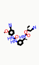 CC[C@H](CC#N)OC(=O)N[C@@H](C)c1cccc(NC(=O)Nc2ccc(C#N)c(OC)c2)c1